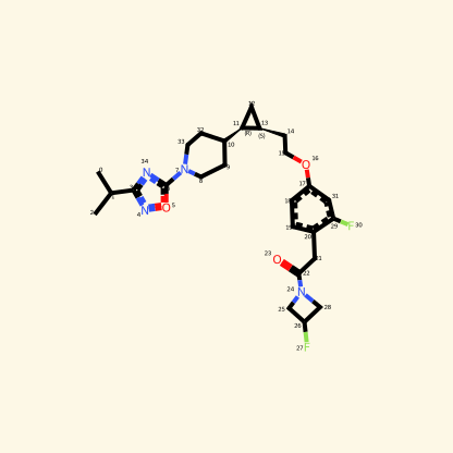 CC(C)c1noc(N2CCC([C@H]3C[C@H]3CCOc3ccc(CC(=O)N4CC(F)C4)c(F)c3)CC2)n1